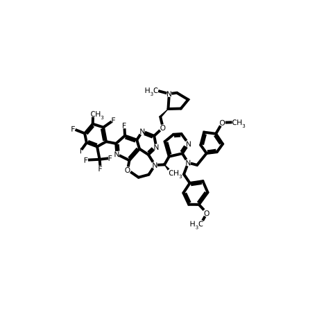 COc1ccc(CN(Cc2ccc(OC)cc2)c2ncccc2[C@@H](C)N2CCOc3nc(-c4c(F)c(C)c(F)c(I)c4C(F)(F)F)c(F)c4nc(OC[C@@H]5CCCN5C)nc2c34)cc1